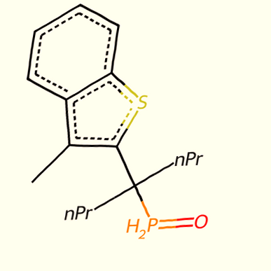 CCCC(CCC)([PH2]=O)c1sc2ccccc2c1C